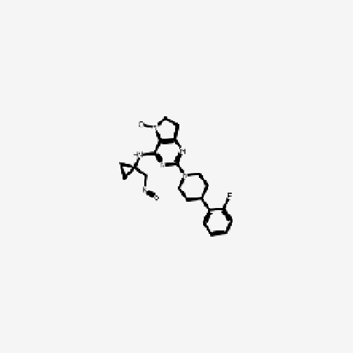 O=NCC1(Nc2nc(N3CCC(c4ccccc4F)CC3)nc3c2[S+]([O-])CC3)CC1